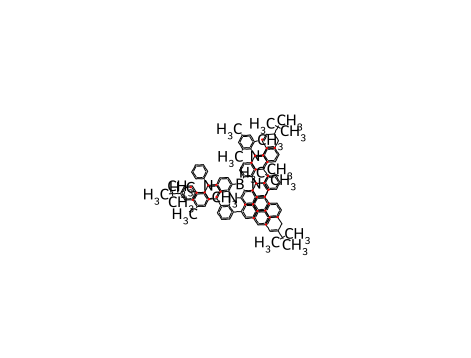 Cc1cc(C)c(N(c2ccccc2)c2ccc3c(c2)N(c2c(C4=CC(C5=CCC(C(C)(C)C)C=C5)=CCC4)cccc2-c2cccc(C4=CC=C(C(C)(C)C)CC4)c2)c2cc(-c4cccc5ccccc45)cc4c2B3c2ccc(N(c3ccccc3)c3c(C)cc(C)cc3C)cc2N4c2c(C3=CC=CC(c4ccc(C(C)(C)C)cc4)C3)cccc2-c2cccc(C3=CC=C(C(C)(C)C)CC3)c2)c(C)c1